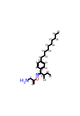 C=C(CN)O/N=C(/c1ccc(CCCCCCCCCC)cc1)C(C)CC